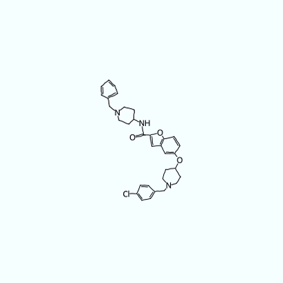 O=C(NC1CCN(Cc2ccccc2)CC1)c1cc2cc(OC3CCN(Cc4ccc(Cl)cc4)CC3)ccc2o1